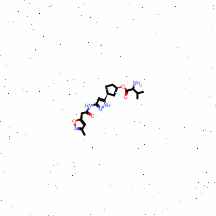 Cc1cc(CC(=O)Nc2cc([C@H]3CC[C@@H](OC(=O)C(N)C(C)C)C3)[nH]n2)on1